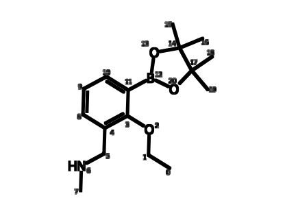 CCOc1c(CNC)cccc1B1OC(C)(C)C(C)(C)O1